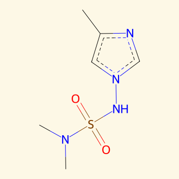 Cc1cn(NS(=O)(=O)N(C)C)cn1